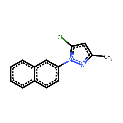 FC(F)(F)c1cc(Cl)n(-c2[c]c3ccccc3cc2)n1